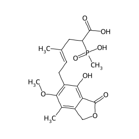 COc1c(C)c2c(c(O)c1C/C=C(\C)CC(C(=O)O)P(C)(=O)O)C(=O)OC2